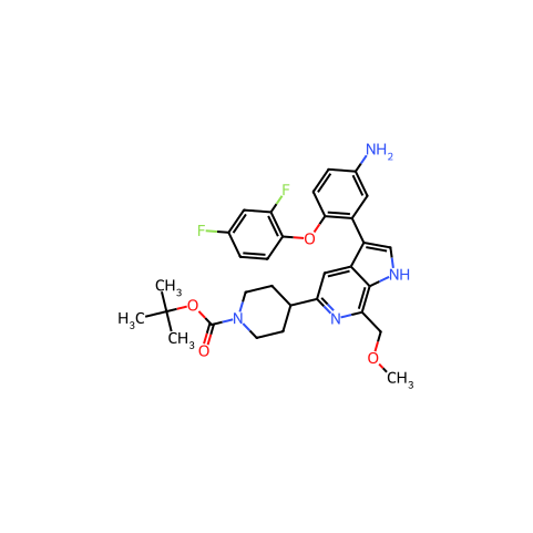 COCc1nc(C2CCN(C(=O)OC(C)(C)C)CC2)cc2c(-c3cc(N)ccc3Oc3ccc(F)cc3F)c[nH]c12